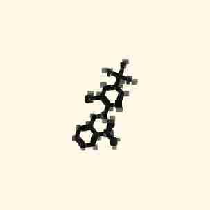 O=[N+]([O-])c1ccccc1CSc1ncc(C(F)(F)F)cc1Cl